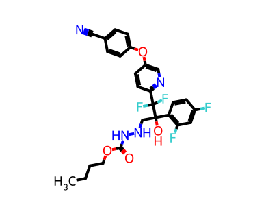 CCCCOC(=O)NNCC(O)(c1ccc(F)cc1F)C(F)(F)c1ccc(Oc2ccc(C#N)cc2)cn1